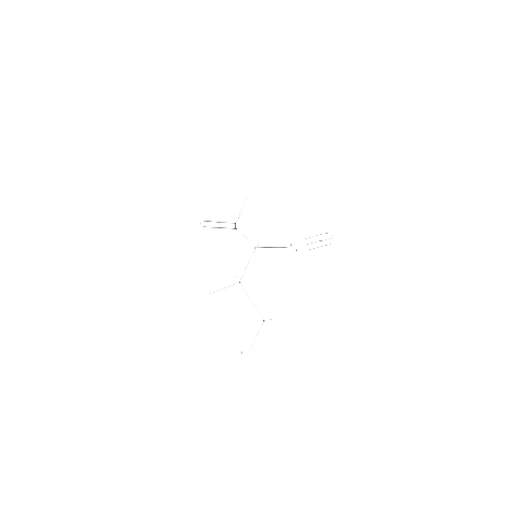 [C-]#[N+]C(C(=O)O)C(C)CC